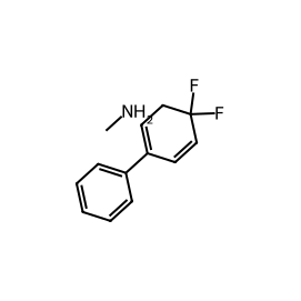 CN.FC1(F)C=CC(c2ccccc2)=CC1